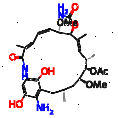 CO[C@H]1/C=C\C=C(/C)C(=O)Nc2cc(O)c(N)c(c2O)C[C@@H](C)C[C@H](OC)[C@H](OC(C)=O)[C@@H](C)/C=C(\C)[C@@H]1OC(N)=O